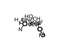 Cc1c(N[C@@H](C(=O)NNC(=O)c2ccc(-n3cccn3)cc2)[C@H](C)O)ccc(C#N)c1I